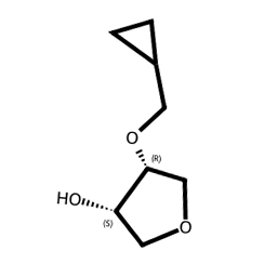 O[C@H]1COC[C@H]1OCC1CC1